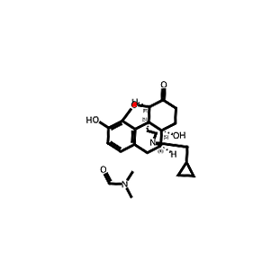 CN(C)C=O.O=C1CC[C@@]2(O)[C@H]3Cc4ccc(O)c5c4[C@@]2(CCN3CC2CC2)[C@H]1O5